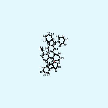 N#Cc1ccc(-n2c3ccccc3c3ccccc32)c(-c2ccccc2-c2ccc3c4ccccc4n(-c4ccccc4)c3c2)c1